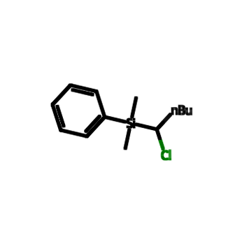 CCCCC(Cl)[Si](C)(C)c1ccccc1